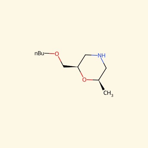 CCCCOC[C@H]1CNC[C@@H](C)O1